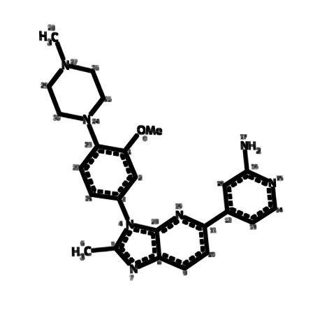 COc1cc(-n2c(C)nc3ccc(-c4ccnc(N)c4)nc32)ccc1N1CCN(C)CC1